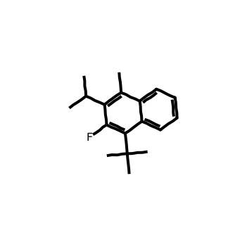 Cc1c(C(C)C)c(F)c(C(C)(C)C)c2ccccc12